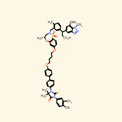 COc1cc(C(CC(=O)O)c2ccc(C)c(CN3C[C@@H](C)Oc4cc(OCCCCOc5ccc(-c6ccc(N7C(=S)N(c8ccc(C#N)c(C(F)(F)F)c8)C(=O)C7(C)C)cc6)cc5)ccc4S3(=O)=O)c2)cc2nnn(C)c12